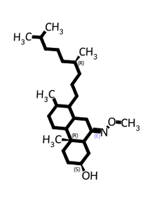 CO/N=C1\CC2C(CCC[C@H](C)CCCC(C)C)C(C)CCC2[C@@]2(C)CC[C@H](O)CC12